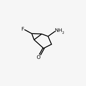 NC1CC(=O)C2C(F)C12